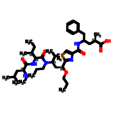 CCCO[C@H](C[C@H](C(C)C)N(CCC)C(=O)[C@@H](NC(=O)[C@H](CC(C)C)NC)[C@@H](C)CC)c1nc(C(=O)NC(Cc2ccccc2)C[C@H](C)C(=O)O)cs1